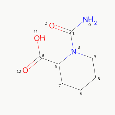 NC(=O)N1CCCCC1C(=O)O